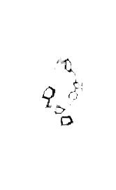 CCn1nc(Cc2ccc(OC(C)(C)C)cc2)cc1C1CCN(C[C@H]2CN([C@@H](C(=O)O)C3CCCCC3)C[C@@H]2c2cccc(F)c2)CC1